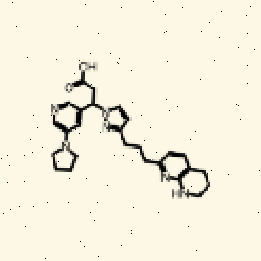 O=C(O)CC(c1cncc(N2CCCC2)c1)n1ccc(CCCc2ccc3c(n2)NCCC3)n1